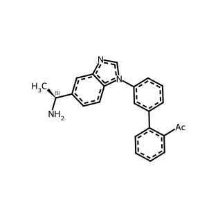 CC(=O)c1ccccc1-c1cccc(-n2cnc3cc([C@H](C)N)ccc32)c1